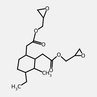 CCC1CCC(CC(=O)OCC2CO2)C(CC(=O)OCC2CO2)C1C